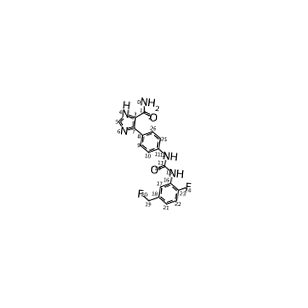 NC(=O)c1[nH]cnc1-c1ccc(NC(=O)Nc2cc(CF)ccc2F)cc1